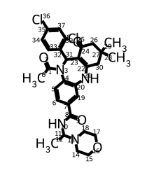 CC(=O)N1c2ccc(C(=O)NC(C)N3CCOCC3)cc2NC2=C(C(=O)CC(C)(C)C2)C1c1ccc(Cl)cc1Cl